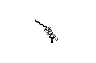 C#Cc1cn2nc(S(=O)(=O)CCCCCCC)sc2nc1=O